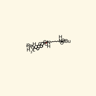 CC(C)CCC[C@@H](C)C1CCC2C3CC=C4CC(OC(=O)CNCCCCCCCCNC(=O)OC(C)(C)C)CCC4(C)C3CCC21C